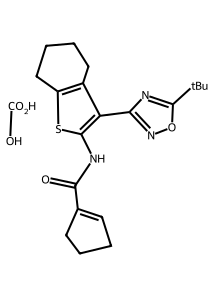 CC(C)(C)c1nc(-c2c(NC(=O)C3=CCCC3)sc3c2CCCC3)no1.O=C(O)O